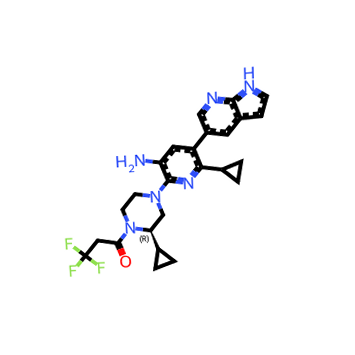 Nc1cc(-c2cnc3[nH]ccc3c2)c(C2CC2)nc1N1CCN(C(=O)CC(F)(F)F)[C@H](C2CC2)C1